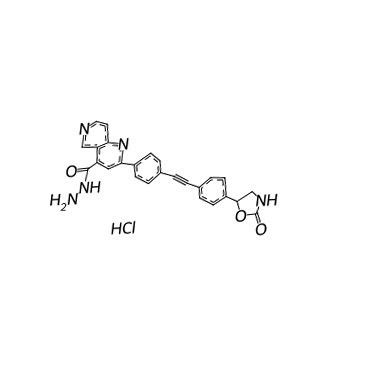 Cl.NNC(=O)c1cc(-c2ccc(C#Cc3ccc(C4CNC(=O)O4)cc3)cc2)nc2ccncc12